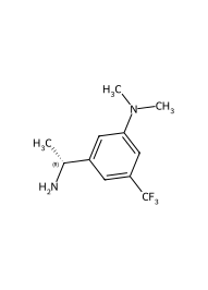 C[C@@H](N)c1cc(N(C)C)cc(C(F)(F)F)c1